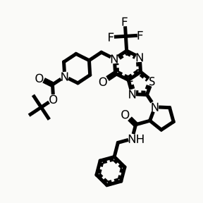 CC(C)(C)OC(=O)N1CCC(Cn2c(C(F)(F)F)nc3sc(N4CCCC4C(=O)NCc4ccccc4)nc3c2=O)CC1